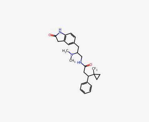 CN(C)C(CNC(=O)CC(c1ccccc1)C1(C(F)(F)F)CC1)Cc1ccc2c(c1)CC(=O)N2